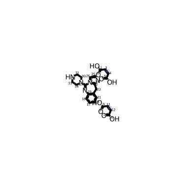 O=C(O)/C=C\C(=O)O.O=C(O)/C=C\C(=O)O.c1ccc2c(c1)Cc1nccn1C(N1CCNCC1)=N2